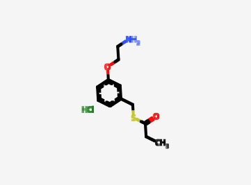 CCC(=O)SCc1cccc(OCCN)c1.Cl